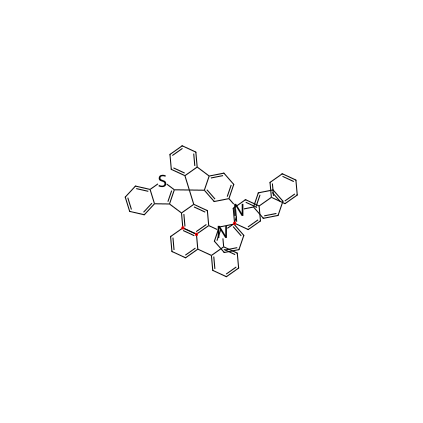 c1ccc(-c2ccc(N(c3ccc4c(c3)C3(c5ccccc5-c5ccc(N(c6ccccc6)c6ccccc6)cc53)c3sc5ccccc5c3-4)c3ccccc3-c3ccccc3)cc2)cc1